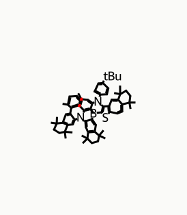 Cc1cc2c3c(c1)N(c1ccc(C(C)(C)C)cc1)c1c(sc4c1C=C1C(=C=C4)C(C)(C)CCC1(C)C)B3c1cc3c(cc1N2c1cc2c(cc1-c1ccccc1C)C(C)(C)CCC2(C)C)C(C)(C)CCC3(C)C